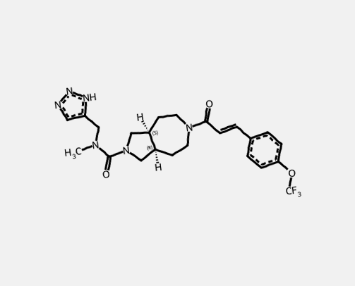 CN(Cc1cnn[nH]1)C(=O)N1C[C@H]2CCN(C(=O)C=Cc3ccc(OC(F)(F)F)cc3)CC[C@H]2C1